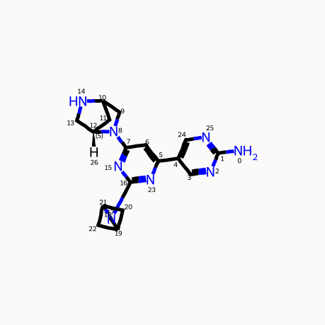 Nc1ncc(-c2cc(N3CC4C[C@H]3CN4)nc(N3CC4CC3C4)n2)cn1